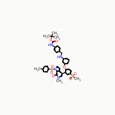 Cc1ccc(S(=O)(=O)n2ccc3c(-c4cc(S(C)(=O)=O)ccc4Oc4cccc(NCc5ccc(NC(=O)OC(C)(C)C)cc5)c4)cn(C)c(=O)c32)cc1